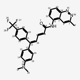 Cc1cc2c(NC(=O)/C=C/C=C(/c3ccc(N(C)C)cc3)c3ccc(C(F)(F)F)cc3)cccc2nn1